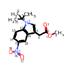 COC(=O)Cc1cn(C(C)(C)C)c2ccc([N+](=O)[O-])cc12